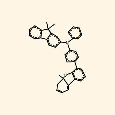 CC12CC=CC=C1c1cccc(-c3ccc(N(c4ccccc4)c4ccc5c(c4)C(C)(C)c4ccccc4-5)cc3)c1O2